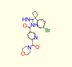 N=C(NC(=O)c1ccc(C(=O)N2CCOCC2)nc1)C1(c2ccc(Br)cc2)CCC1